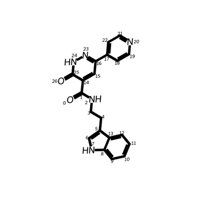 O=C(NCCc1c[nH]c2ccccc12)c1cc(-c2ccncc2)n[nH]c1=O